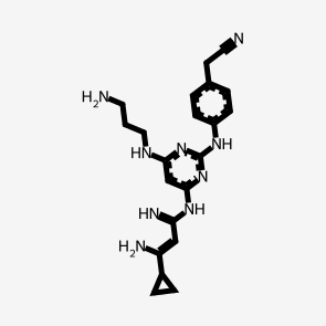 N#CCc1ccc(Nc2nc(NCCCN)cc(NC(=N)/C=C(\N)C3CC3)n2)cc1